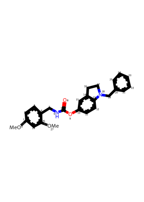 COc1ccc(CNC(=O)Oc2ccc3c(c2)CCN3Cc2ccccc2)c(OC)c1